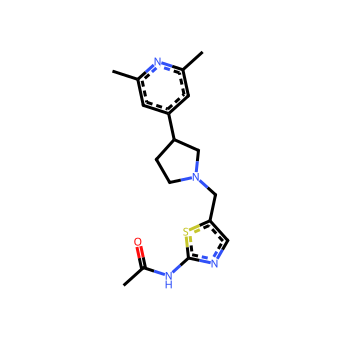 CC(=O)Nc1ncc(CN2CCC(c3cc(C)nc(C)c3)C2)s1